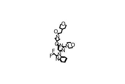 O=C(CC1CCOCC1)N1CC(Oc2cc(-n3c(C(F)F)nc4ccccc43)nc(N3CCOCC3)n2)C1